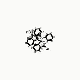 CCCCn1c(C)c(C2(N(c3ccccc3)c3ccccc3)OC(=O)c3ccccc32)c2ccccc21